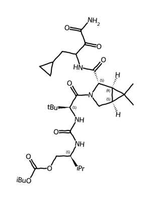 CC(C)COC(=O)OC[C@@H](NC(=O)N[C@H](C(=O)N1C[C@H]2[C@@H]([C@H]1C(=O)NC(CC1CC1)C(=O)C(N)=O)C2(C)C)C(C)(C)C)C(C)C